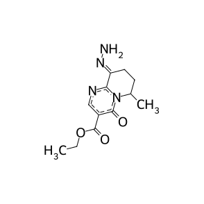 CCOC(=O)c1cnc2n(c1=O)C(C)CCC2=NN